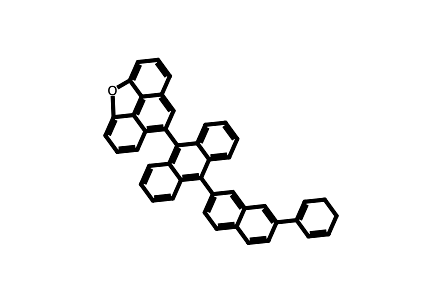 C1=CC(c2ccc3ccc(-c4c5ccccc5c(-c5cc6cccc7oc8cccc5c8c67)c5ccccc45)cc3c2)=CCC1